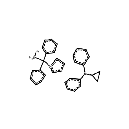 CCC[SiH2]C(c1ccccc1)(c1ccccc1)n1ccnc1.c1ccc(B(c2ccccc2)C2CC2)cc1